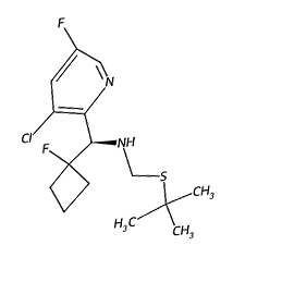 CC(C)(C)SCN[C@H](c1ncc(F)cc1Cl)C1(F)CCC1